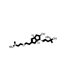 CCCC[C@](C)(O)C/C=C/[C@@H]1[C@H]2CC(CCOCCN(C)C(C)(C)C)=C[C@H]2C[C@H]1O